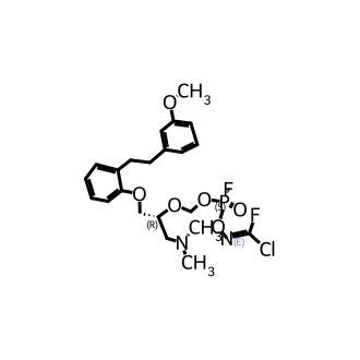 COc1cccc(CCc2ccccc2OC[C@@H](CN(C)C)OCO[P@](=O)(F)O/N=C(\F)Cl)c1